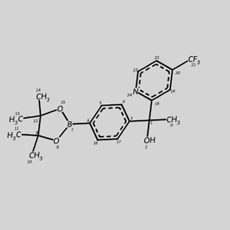 CC(O)(c1ccc(B2OC(C)(C)C(C)(C)O2)cc1)c1cc(C(F)(F)F)ccn1